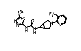 CC(C)(C)c1nnc(NC(=O)NC2C3CN(c4ncccc4C(F)(F)F)CC32)s1